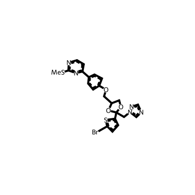 CSc1nccc(-c2ccc(OCC3COC(Cn4cncn4)(c4ccc(Br)s4)O3)cc2)n1